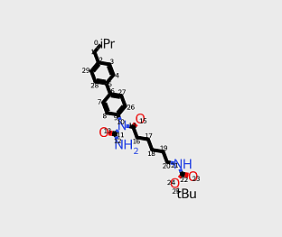 CC(C)Cc1ccc(-c2ccc(N(C(N)=O)C(=O)CCCCCNC(=O)OC(C)(C)C)cc2)cc1